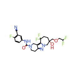 N#Cc1cc(NC(=O)N2CCc3nn4c(c3C2)C(F)(F)CCC(O)(COCC(F)F)C4)ccc1F